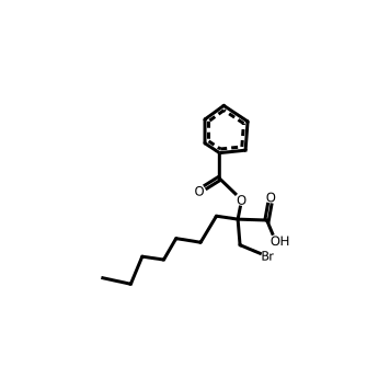 CCCCCCCC(CBr)(OC(=O)c1ccccc1)C(=O)O